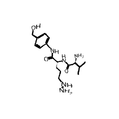 CC(C)[C@H](N)C(=O)N[C@H](CCCNN)C(=O)Nc1ccc(CO)cc1